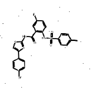 Cc1ccc(S(=O)(=O)Nc2ccc(F)cc2C(=O)Nc2nc(-c3ccc(Br)cc3)cs2)cc1